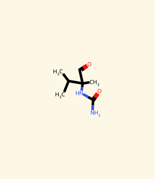 CC(C)C(C)(C=O)NC(N)=O